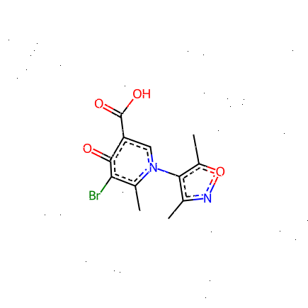 Cc1noc(C)c1-n1cc(C(=O)O)c(=O)c(Br)c1C